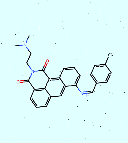 CN(C)CCN1C(=O)c2cccc3cc4c(/N=C\c5ccc(C#N)cc5)cccc4c(c23)C1=O